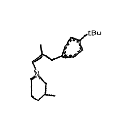 CC(=CN1CCCC(C)C1)Cc1ccc(C(C)(C)C)cc1